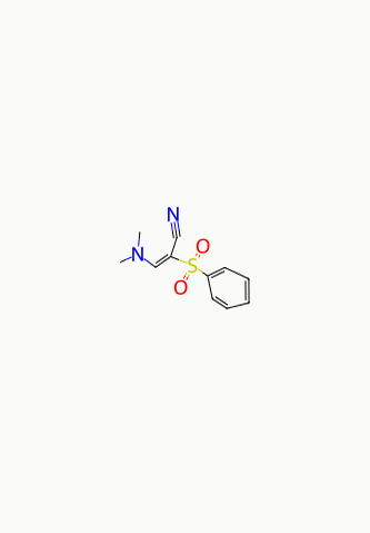 CN(C)C=C(C#N)S(=O)(=O)c1ccccc1